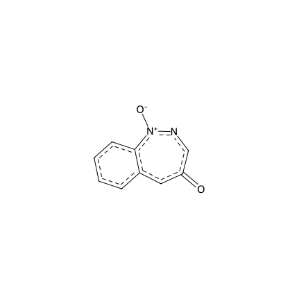 O=c1cn[n+]([O-])c2ccccc2c1